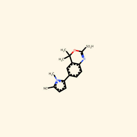 Cn1c(C#N)ccc1-c1ccc2c(c1)C(C)(C)OC(S(=O)(=O)O)=N2